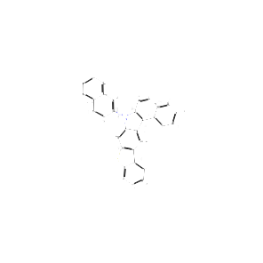 c1ccc2cc(-n3c4cc5sc6ccccc6c5cc4c4c5ccccc5ccc43)ccc2c1